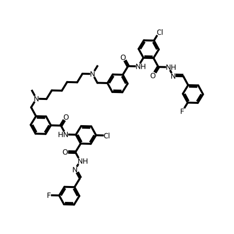 CN(CCCCCCN(C)Cc1cccc(C(=O)Nc2ccc(Cl)cc2C(=O)NN=Cc2cccc(F)c2)c1)Cc1cccc(C(=O)Nc2ccc(Cl)cc2C(=O)NN=Cc2cccc(F)c2)c1